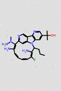 CCCC1/C(N)=C(F)/C=C\C=C/C(N)=C(/N(C)N)c2cc3c(cn2)c2ncc(C(C)(C)O)cc2n31